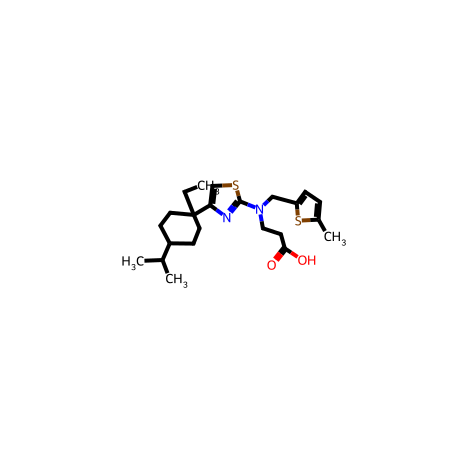 CCC1(c2csc(N(CCC(=O)O)Cc3ccc(C)s3)n2)CCC(C(C)C)CC1